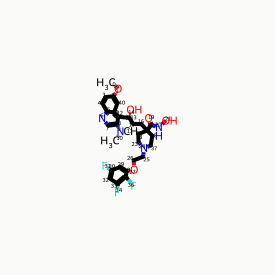 COc1ccc2ncc(N(C)C)c([C@H](O)CCC3(C(=O)NO)CCN(CCOc4cc(F)cc(F)c4F)CC3)c2c1